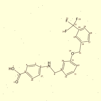 O=C(O)c1ccc(NCc2cccc(OCc3cccc(C(F)(F)F)c3)c2)cc1